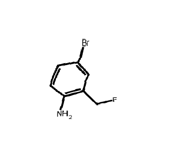 Nc1ccc(Br)cc1CF